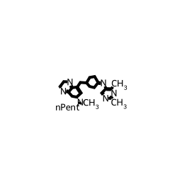 CCCCCN(C)[C@H]1C=C(CC2CCC(=Nc3cnc(C)nc3C)CC2)C2=NCCN=C2C1